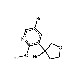 CCOc1ncc(Br)cc1C1(C#N)CCOC1